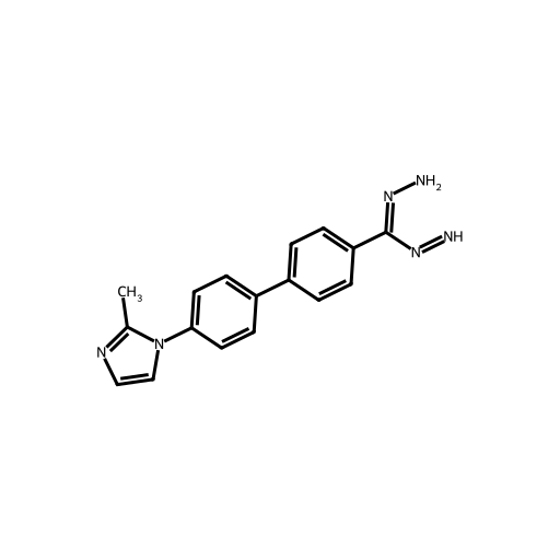 Cc1nccn1-c1ccc(-c2ccc(/C(N=N)=N/N)cc2)cc1